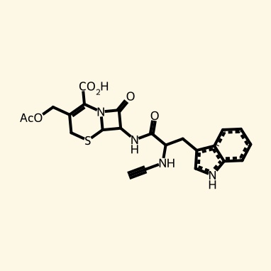 C#CNC(Cc1c[nH]c2ccccc12)C(=O)NC1C(=O)N2C(C(=O)O)=C(COC(C)=O)CSC12